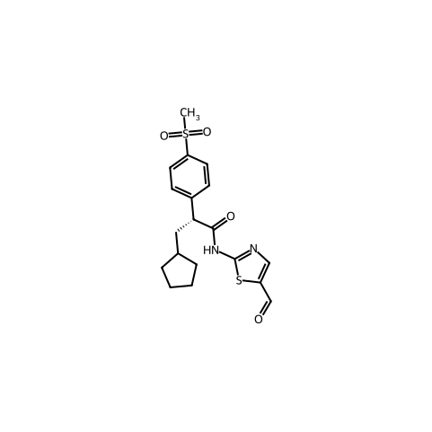 CS(=O)(=O)c1ccc([C@@H](CC2CCCC2)C(=O)Nc2ncc(C=O)s2)cc1